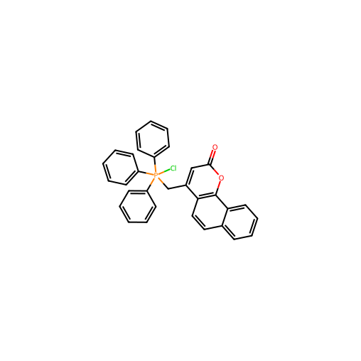 O=c1cc(CP(Cl)(c2ccccc2)(c2ccccc2)c2ccccc2)c2ccc3ccccc3c2o1